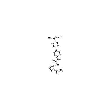 C=C(C(=O)O)c1ccc(-c2ccc(NC(=O)Nc3sccc3C(N)=O)cc2)cc1